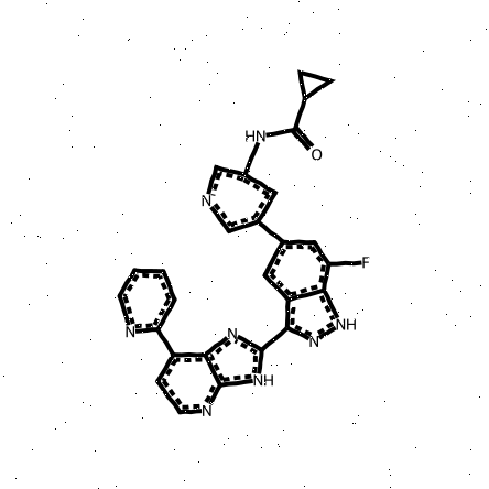 O=C(Nc1cncc(-c2cc(F)c3[nH]nc(-c4nc5c(-c6ccccn6)ccnc5[nH]4)c3c2)c1)C1CC1